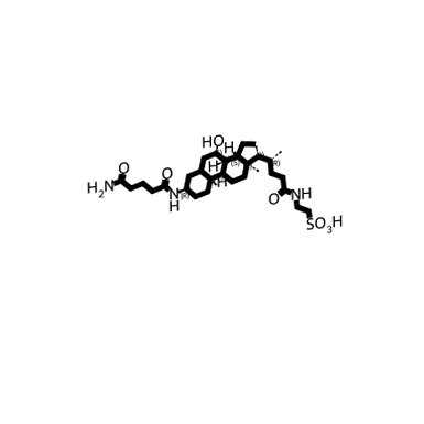 C[C@H](CCC(=O)NCCS(=O)(=O)O)[C@H]1CC[C@H]2[C@@H]3[C@@H](O)CC4C[C@H](NC(=O)CCCC(N)=O)CC[C@]4(C)[C@H]3CC[C@]12C